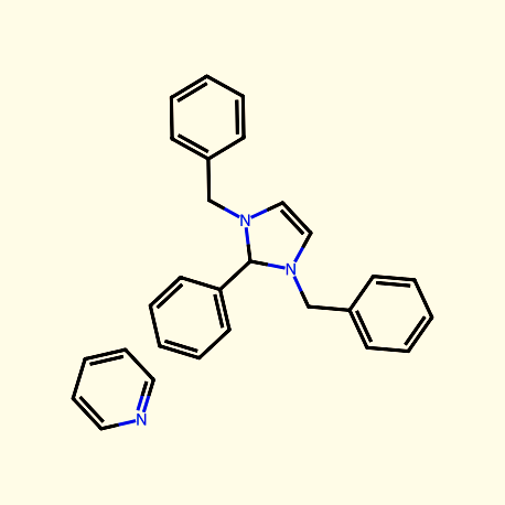 C1=CN(Cc2ccccc2)C(c2ccccc2)N1Cc1ccccc1.c1ccncc1